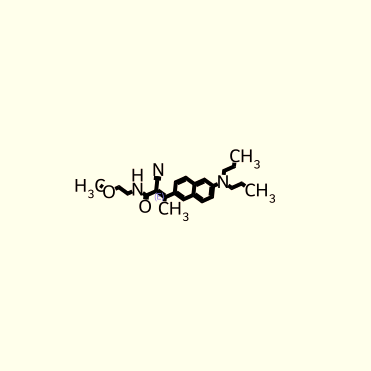 CCCN(CCC)c1ccc2cc(/C(C)=C(\C#N)C(=O)NCCOC)ccc2c1